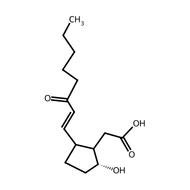 CCCCCC(=O)/C=C/C1CC[C@@H](O)C1CC(=O)O